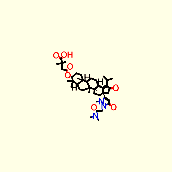 CC(C)C1=C2[C@H]3CC[C@@H]4[C@@]5(C)CC[C@H](OC(=O)CC(C)(C)C(=O)O)C(C)(C)[C@@H]5CC[C@@]4(C)[C@]3(C)CC[C@@]2(c2cc(=O)n(CC(=O)N(C)C)n2C)CC1=O